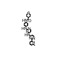 Cc1cccc(-c2nccc(Nc3ccnc(Nc4ccc(NC(=O)C5CCN(C)CC5)cc4)n3)n2)n1